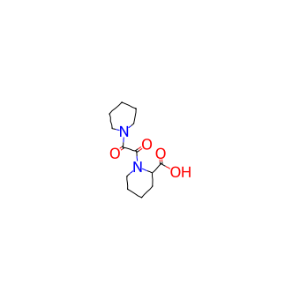 O=C(O)C1CCCCN1C(=O)C(=O)N1CCCCC1